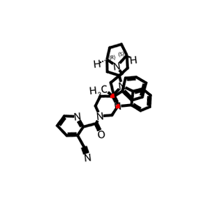 Cc1nc2ccccc2n1C1C[C@H]2CC[C@@H](C1)N2CCC1(c2ccccc2)CCN(C(=O)c2ncccc2C#N)CC1